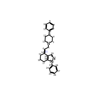 C(/CN1CCC(c2ccccc2)CC1)=C1\CCCc2c1cnn2-c1ccccc1